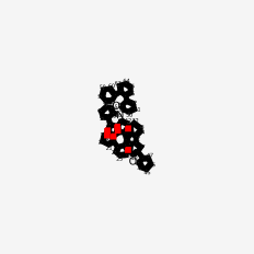 c1ccc(-c2ccccc2N(c2ccc3c(c2)-c2ccccc2-c2ccccc2C32c3ccccc3-c3cc4c(cc32)oc2ccccc24)c2cccc3c2Oc2ccccc2-c2ccccc2-3)cc1